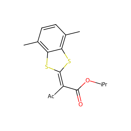 CC(=O)C(C(=O)OC(C)C)=C1Sc2c(C)ccc(C)c2S1